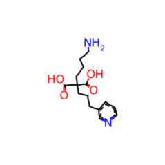 NCCCCC(CCCc1cccnc1)(C(=O)O)C(=O)O